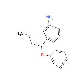 CCCC(Oc1ccccc1)c1cccc(N)c1